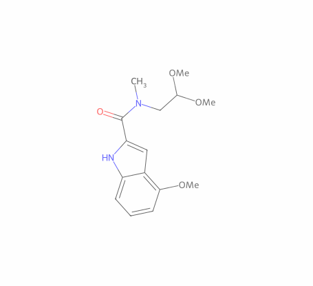 COc1cccc2[nH]c(C(=O)N(C)CC(OC)OC)cc12